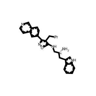 CC(C)Cc1c(-c2ccc3cnccc3c2)noc1NC[C@H](N)Cc1c[nH]c2ccccc12